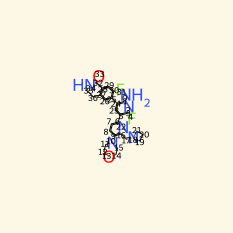 Nc1nc(F)c(-c2ccc(N3CCOCC3)c(CN3CCC3)n2)cc1-c1cc2c(cc1F)C(=O)NCC2